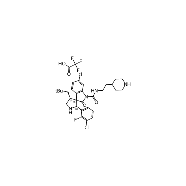 CC(C)(C)C[C@@H]1CN[C@H](c2cccc(Cl)c2F)[C@]12C(=O)N(C(=O)NCCC1CCNCC1)c1cc(Cl)ccc12.O=C(O)C(F)(F)F